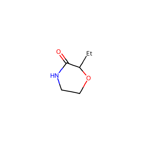 CCC1OCCNC1=O